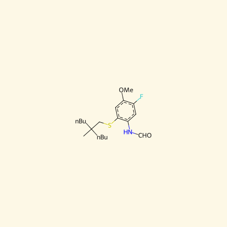 CCCCC(C)(CCCC)CSc1cc(OC)c(F)cc1NC=O